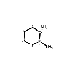 C.NP1OCCCO1